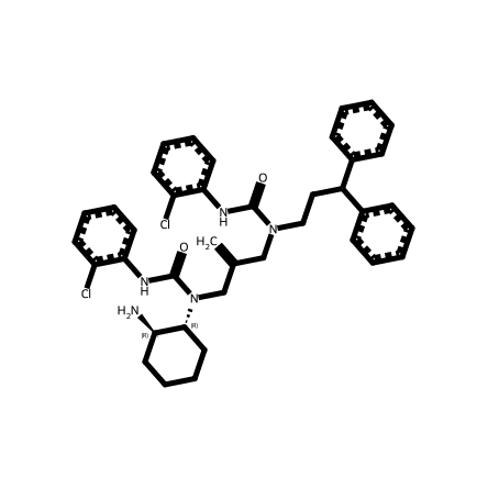 C=C(CN(CCC(c1ccccc1)c1ccccc1)C(=O)Nc1ccccc1Cl)CN(C(=O)Nc1ccccc1Cl)[C@@H]1CCCC[C@H]1N